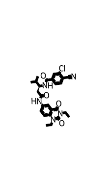 CCn1c(=O)c2cc(NC(=O)C[C@H](NC(=O)c3ccc(C#N)c(Cl)c3)C(C)C)ccc2n(CC)c1=O